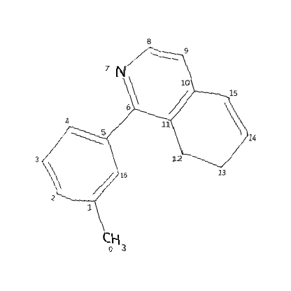 Cc1cccc(-c2nccc3c2CCC=C3)c1